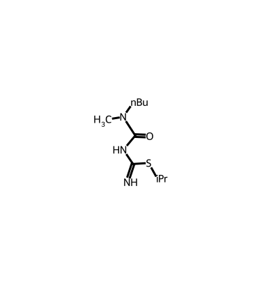 CCCCN(C)C(=O)NC(=N)SC(C)C